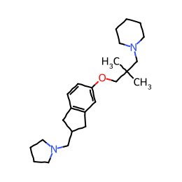 CC(C)(COc1ccc2c(c1)CC(CN1CCCC1)C2)CN1CCCCC1